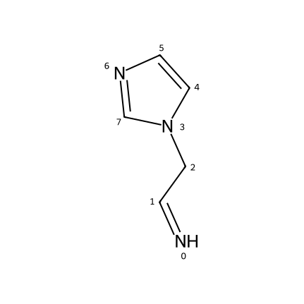 N=CCn1ccnc1